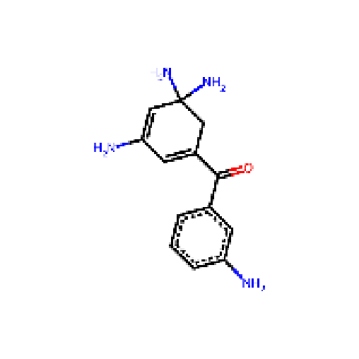 NC1=CC(N)(N)CC(C(=O)c2cccc(N)c2)=C1